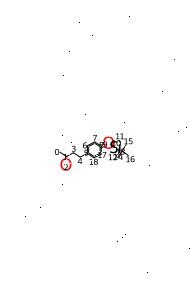 CC(=O)CCc1ccc(O[Si](C)(C)C(C)(C)C)cc1